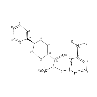 CCOC(=O)C(Cc1cccc(N(C)C)n1)C(=O)[C@H]1CC[C@H](c2ccccc2)CC1